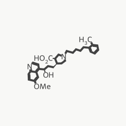 COc1ccc2nccc([C@H](O)CC[C@@H]3CCN(CCCCCc4ccccc4C)C[C@@H]3C(=O)O)c2c1